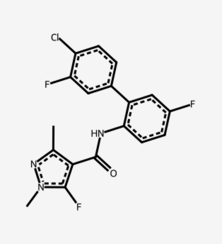 Cc1nn(C)c(F)c1C(=O)Nc1ccc(F)cc1-c1ccc(Cl)c(F)c1